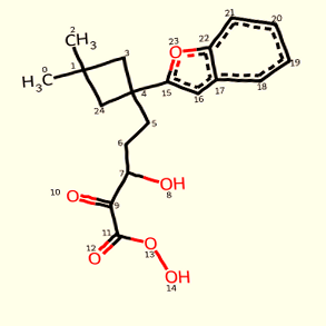 CC1(C)CC(CCC(O)C(=O)C(=O)OO)(c2cc3ccccc3o2)C1